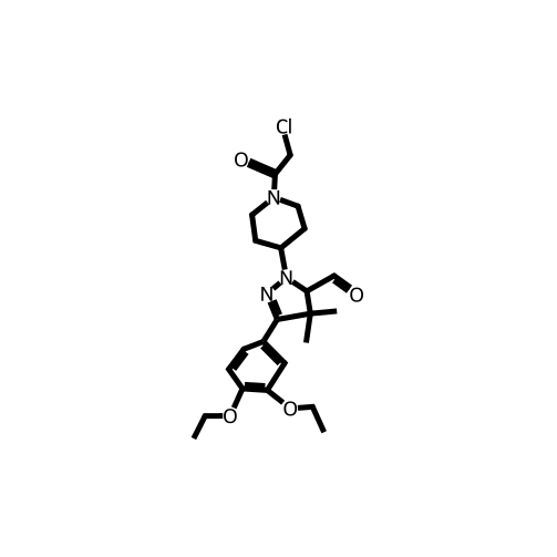 CCOc1ccc(C2=NN(C3CCN(C(=O)CCl)CC3)C(C=O)C2(C)C)cc1OCC